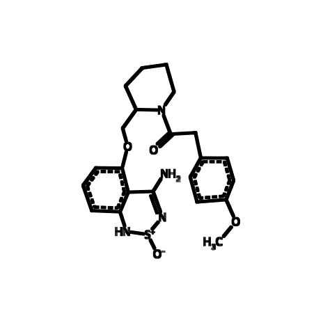 COc1ccc(CC(=O)N2CCCCC2COc2cccc3c2C(N)=N[S+]([O-])N3)cc1